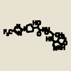 C[C@@H](CONC(=O)C(O)C1CCN(c2ncc(C(F)(F)F)cn2)CC1)Nc1cn[nH]c(=O)c1C(F)(F)F